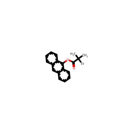 CCC(C)(C)C(=O)Oc1c2ccccc2cc2ccccc12